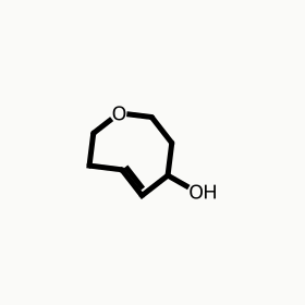 OC1/C=C/CCOCC1